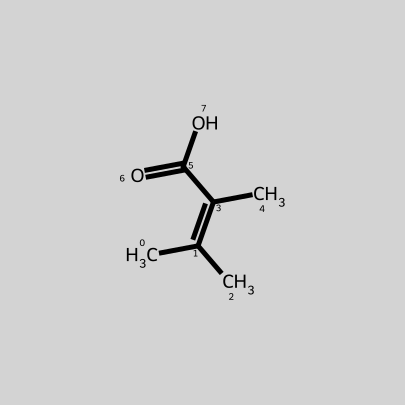 CC(C)=C(C)C(=O)O